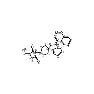 COc1ccccc1C(=O)NC[C@]1(c2ccccc2)CC[C@H](N2C(=O)N[C@@H](CC(C)C)C2=O)CC1